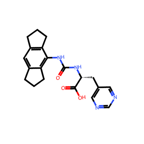 O=C(Nc1c2c(cc3c1CCC3)CCC2)N[C@H](Cc1cncnc1)C(=O)O